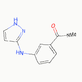 CNC(=O)c1cccc(Nc2cc[nH]n2)c1